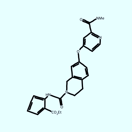 CCOC(=O)c1ccccc1NC(=O)N1CCc2ccc(Oc3ccnc(C(=O)NC)c3)cc2C1